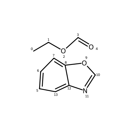 CCOC=O.c1ccc2ocnc2c1